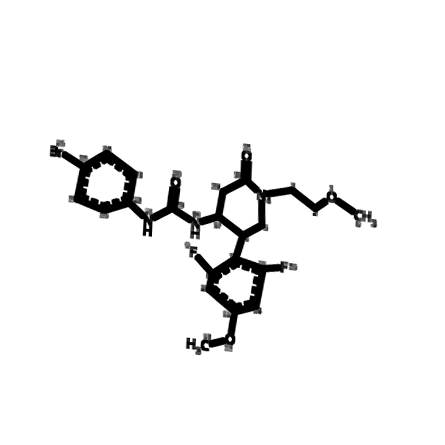 COCCN1CC(c2c(F)cc(OC)cc2F)C(NC(=O)Nc2ccc(Br)cc2)CC1=O